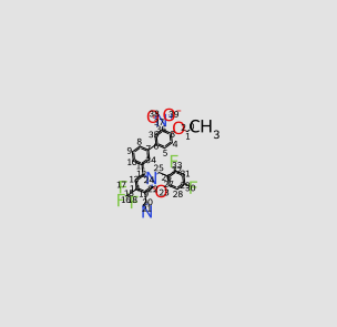 CCOc1ccc(-c2cccc(-c3cc(C(F)(F)F)c(C#N)c(=O)n3Cc3ccc(F)cc3F)c2)cc1[N+](=O)[O-]